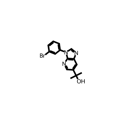 CC(C)(O)c1cnc2c(c1)ncn2-c1cccc(Br)c1